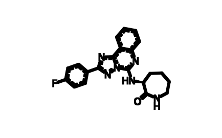 O=C1NCCCC[C@@H]1Nc1nc2ccccc2c2nc(-c3ccc(F)cc3)nn12